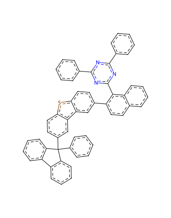 c1ccc(-c2nc(-c3ccccc3)nc(-c3c(-c4ccc5sc6ccc(C7(c8ccccc8)c8ccccc8-c8ccccc87)cc6c5c4)ccc4ccccc34)n2)cc1